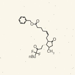 CCCCC(F)(F)C(=O)CC[C@H]1C(C)CC(=O)C1C/C=C\CCCC(=O)OCc1ccccc1